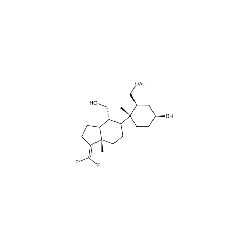 CC(=O)OC[C@H]1C[C@@H](O)CC[C@]1(C)C1CC[C@]2(C)C(=C(F)F)CCC2[C@@H]1CO